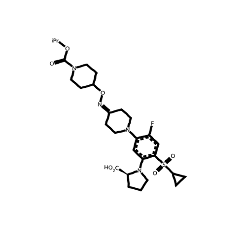 CC(C)OC(=O)N1CCC(ON=C2CCN(c3cc(N4CCC[C@H]4C(=O)O)c(S(=O)(=O)C4CC4)cc3F)CC2)CC1